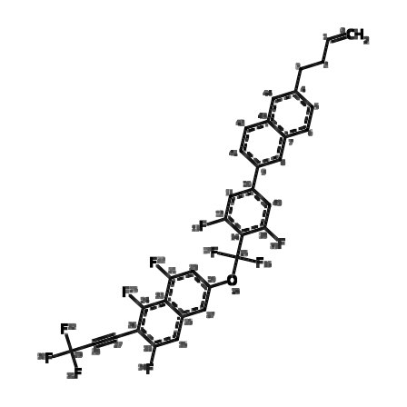 C=CCCc1ccc2cc(-c3cc(F)c(C(F)(F)Oc4cc(F)c5c(F)c(C#CC(F)(F)F)c(F)cc5c4)c(F)c3)ccc2c1